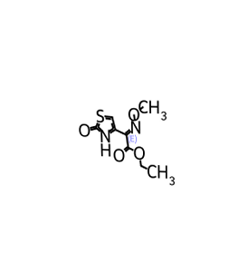 CCOC(=O)/C(=N/OC)c1csc(=O)[nH]1